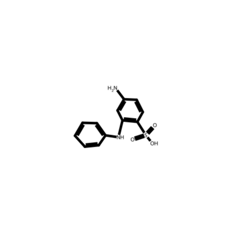 Nc1ccc(S(=O)(=O)O)c(Nc2ccccc2)c1